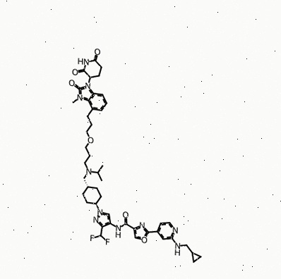 CC(C)N(CCCOCCCc1cccc2c1n(C)c(=O)n2C1CCC(=O)NC1=O)C[C@H]1CC[C@H](n2cc(NC(=O)c3coc(-c4ccnc(NCC5CC5)c4)n3)c(C(F)F)n2)CC1